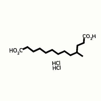 CC(CCCCCCCCC(=O)O)CCC(=O)O.Cl.Cl